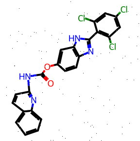 O=C(Nc1ccc2ccccc2n1)Oc1ccc2nc(-c3c(Cl)cc(Cl)cc3Cl)[nH]c2c1